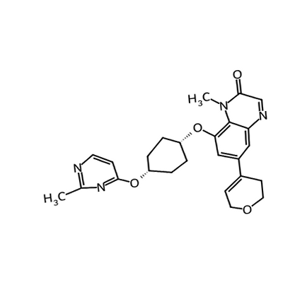 Cc1nccc(O[C@H]2CC[C@@H](Oc3cc(C4=CCOCC4)cc4ncc(=O)n(C)c34)CC2)n1